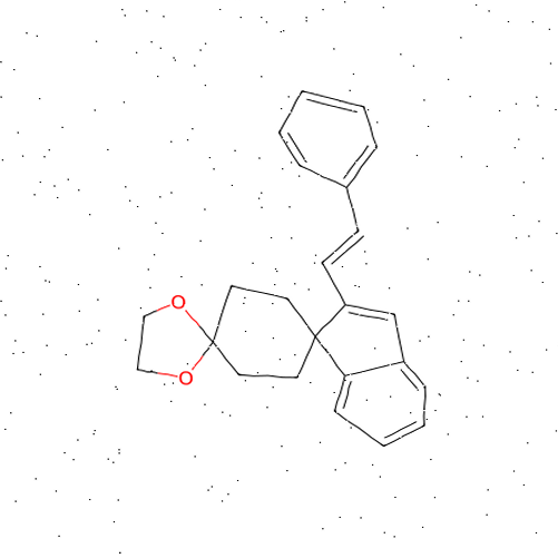 C1=C(/C=C/c2ccccc2)C2(CCC3(CC2)OCCO3)c2ccccc21